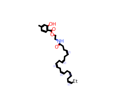 CC/C=C\C/C=C\C/C=C\C/C=C\C/C=C\C/C=C\CCC(=O)NCCOC(=O)c1ccc(C)cc1O